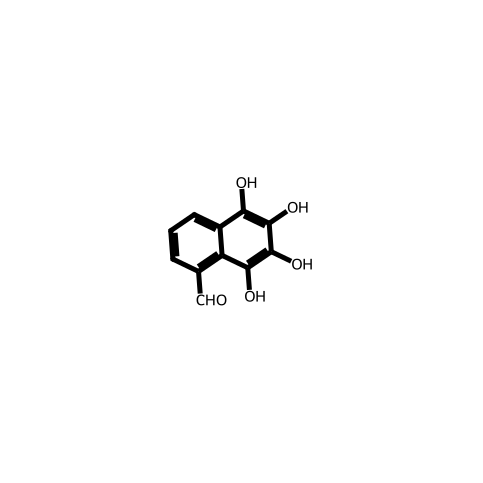 O=Cc1cccc2c(O)c(O)c(O)c(O)c12